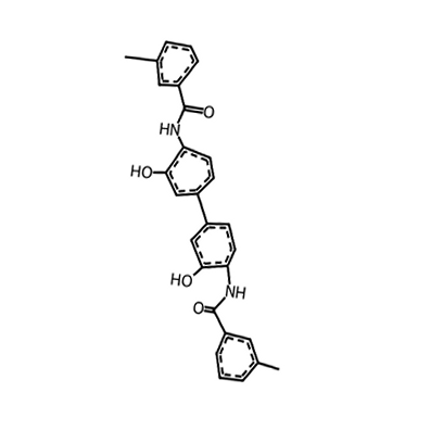 Cc1cccc(C(=O)Nc2ccc(-c3ccc(NC(=O)c4cccc(C)c4)c(O)c3)cc2O)c1